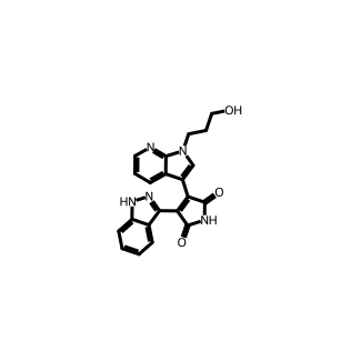 O=C1NC(=O)C(c2cn(CCCO)c3ncccc23)=C1c1n[nH]c2ccccc12